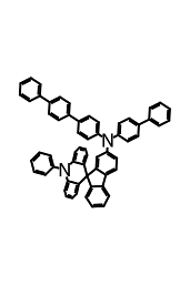 c1ccc(-c2ccc(-c3ccc(N(c4ccc(-c5ccccc5)cc4)c4ccc5c(c4)C4(c6ccccc6-5)c5ccccc5N(c5ccccc5)c5ccccc54)cc3)cc2)cc1